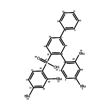 CC(C)(C)c1ccc(-c2cc(-c3ccccc3)ccc2P(=O)(O)c2ccc(C(C)(C)C)cc2C(C)(C)C)c(C(C)(C)C)c1